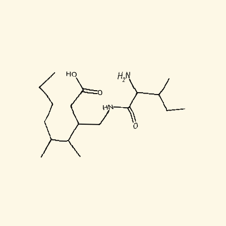 CCCCC(C)C(C)C(CNC(=O)C(N)C(C)CC)CC(=O)O